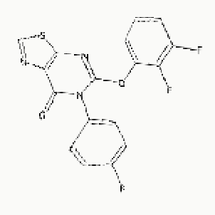 O=c1c2ncsc2nc(Oc2cccc(F)c2F)n1-c1ccc(F)cc1